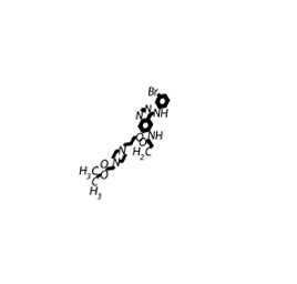 C=CC(=O)Nc1cc2c(Nc3cccc(Br)c3)ncnc2cc1OCCCN1CCN(CC(=O)OC(C)C)CC1